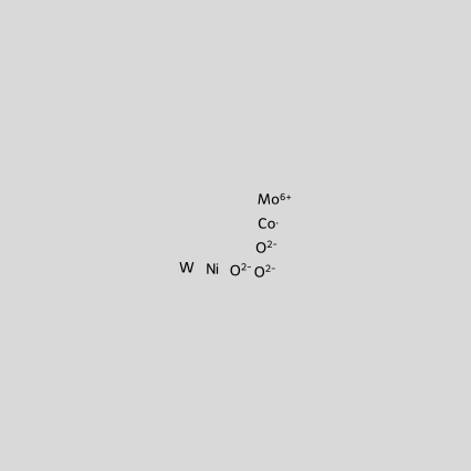 [Co].[Mo+6].[Ni].[O-2].[O-2].[O-2].[W]